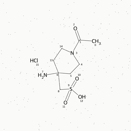 CC(=O)N1CCC(N)(CS(=O)(=O)O)CC1.Cl